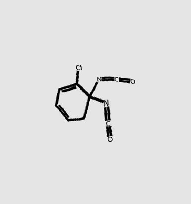 O=C=NC1(N=C=O)CC=CC=C1Cl